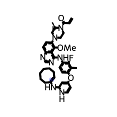 C=CC(=O)N1CCN(c2ccc3ncnc(Nc4ccc(OC5=CC(N/C6=C/CCCCCC6)NC=C5)c(C)c4F)c3c2OC)C[C@H]1C